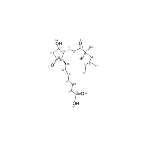 CCC(C)CC(F)(F)C(=O)CC[C@H]1[C@H](O)CC(=O)[C@@H]1CCCCCCC(=O)O